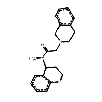 CN(C(=O)CN1CCc2ccccc2C1)C1CCOc2ccccc21